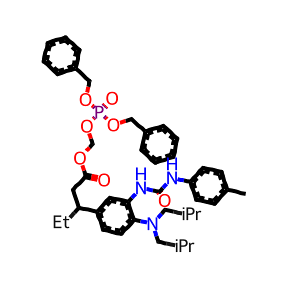 CCC(CC(=O)OCOP(=O)(OCc1ccccc1)OCc1ccccc1)c1ccc(N(CC(C)C)CC(C)C)c(NC(=O)Nc2ccc(C)cc2)c1